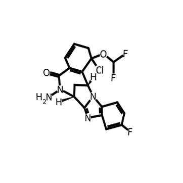 NN1C(=O)C2=C([C@H]3C[C@@H]1c1nc4cc(F)ccc4n13)C(Cl)(OC(F)F)CC=C2